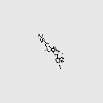 C[C@@H]1CN(c2ccc(C#N)n3ncc(F)c23)Cc2c3c(nn21)CN(CC(=O)N1CCC(F)(F)C1)[C@@H](C)C3